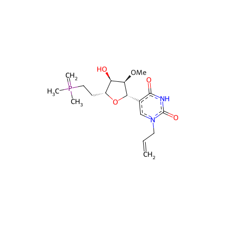 C=CCn1cc([C@@H]2O[C@H](CCP(=C)(C)C)[C@@H](O)[C@H]2OC)c(=O)[nH]c1=O